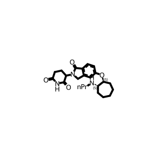 CCCN[C@H]1CCCCC[C@@H]1Oc1ccc2c(c1)CN(C1CCC(=O)NC1=O)C2=O